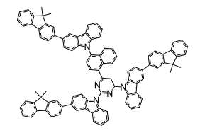 CC1(C)c2ccccc2-c2ccc(-c3ccc4c(c3)c3ccccc3n4C3=NC(n4c5ccccc5c5cc(-c6ccc7c(c6)C(C)(C)c6ccccc6-7)ccc54)CC(c4ccc(-n5c6ccccc6c6cc(-c7ccc8c(c7)C(C)(C)c7ccccc7-8)ccc65)c5ccccc45)=N3)cc21